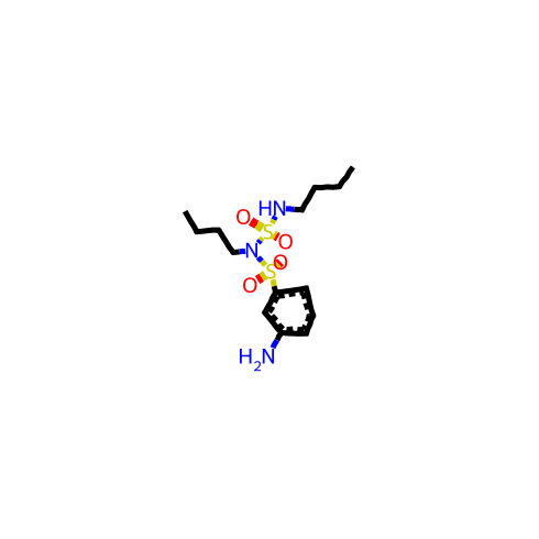 CCCCNS(=O)(=O)N(CCCC)S(=O)(=O)c1cccc(N)c1